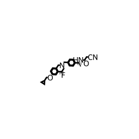 C[C@H](NC(=O)CC#N)c1ccc(CN2Cc3ccc(OCC4CC4)cc3[C@@H](F)C2)cc1